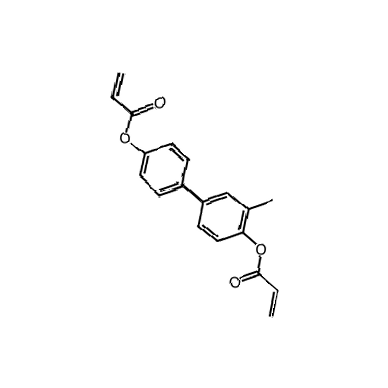 C=CC(=O)Oc1ccc(-c2ccc(OC(=O)C=C)c(C)c2)cc1